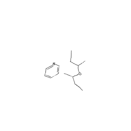 CCC(C)OC(C)CC.c1ccncc1